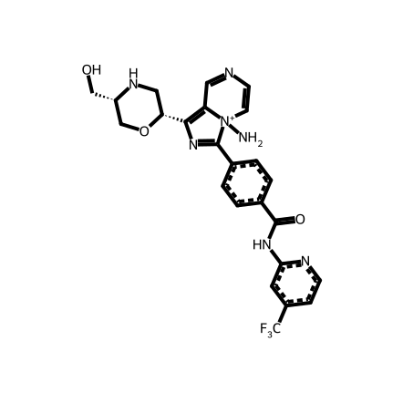 N[N+]12C=CN=CC1=C([C@H]1CN[C@@H](CO)CO1)N=C2c1ccc(C(=O)Nc2cc(C(F)(F)F)ccn2)cc1